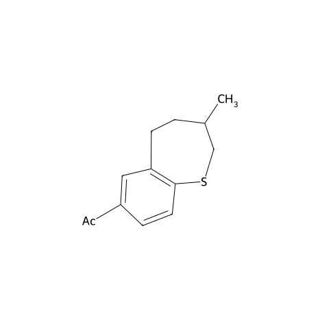 CC(=O)c1ccc2c(c1)CCC(C)CS2